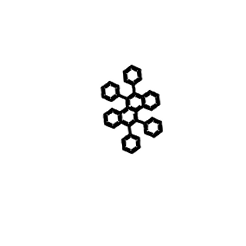 c1ccc(-c2c(-c3ccccc3)c3c4ccccc4c(-c4ccccc4)c(-c4ccccc4)c3c3ccccc23)cc1